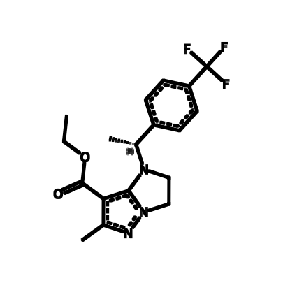 CCOC(=O)c1c(C)nn2c1N([C@H](C)c1ccc(C(F)(F)F)cc1)CC2